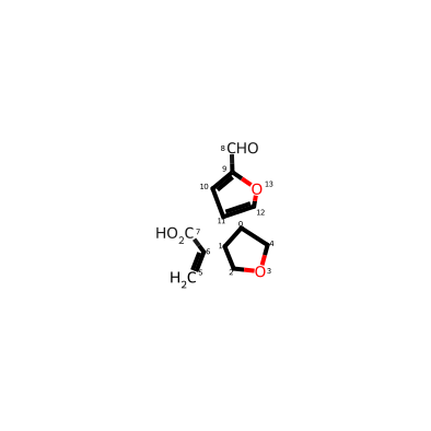 C1CCOC1.C=CC(=O)O.O=Cc1ccco1